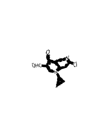 O=Cc1cn(C2CC2)c2cc(Cl)ncc2c1=O